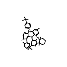 Cc1cc2c3c(c1)N1c4c(cc(C(C)(C)C)cc4C4(C)CCCCC14C)B3c1c(ccc3sc4ccccc4c13)N2c1ccc(C(C)(C)C)cc1